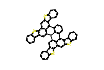 c1cc2c3c(c1)-c1c4c(cc5c6ccccc6sc5c4cc4sc5ccccc5c14)B3c1cc3c4ccccc4sc3c3cc4sc5ccccc5c4c-2c13